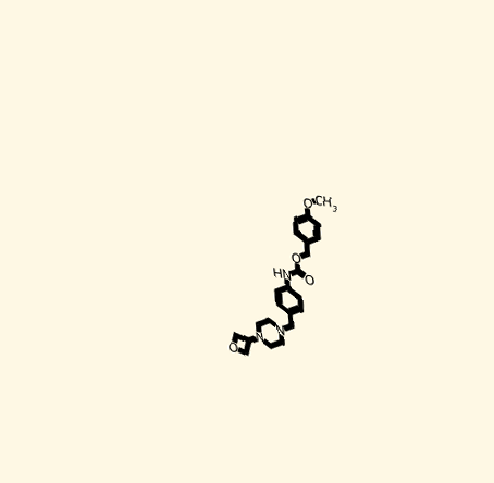 COc1ccc(COC(=O)Nc2ccc(CN3CCN(C4COC4)CC3)cc2)cc1